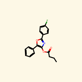 CCCC(=O)Oc1nc(-c2ccc(F)cc2)oc1-c1ccccc1